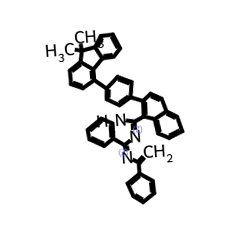 C=C(/N=C(\N=C(/N)c1c(-c2ccc(-c3cccc4c3-c3ccccc3C4(C)C)cc2)ccc2ccccc12)c1ccccc1)c1ccccc1